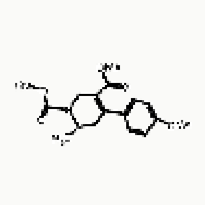 COC(=O)C1=C(c2ccc(OC)cc2)C[C@@H](C)N(C(=O)OC(C)(C)C)C1